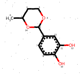 CC1CCOC(c2ccc(O)c(O)c2)O1